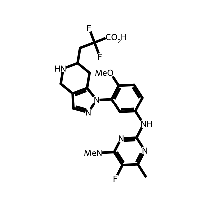 CNc1nc(Nc2ccc(OC)c(-n3ncc4c3CC(CC(F)(F)C(=O)O)NC4)c2)nc(C)c1F